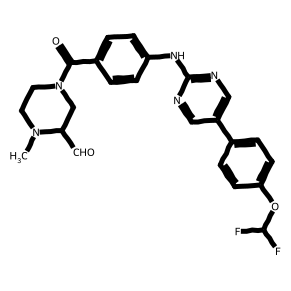 CN1CCN(C(=O)c2ccc(Nc3ncc(-c4ccc(OC(F)F)cc4)cn3)cc2)CC1C=O